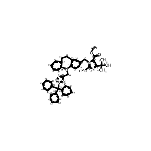 CCCc1nc(C(C)(C)O)c(C(=O)OC(C)C)n1Cc1ccc2c(c1)CCc1ccccc1N2Cc1nnn(C(c2ccccc2)(c2ccccc2)c2ccccc2)n1